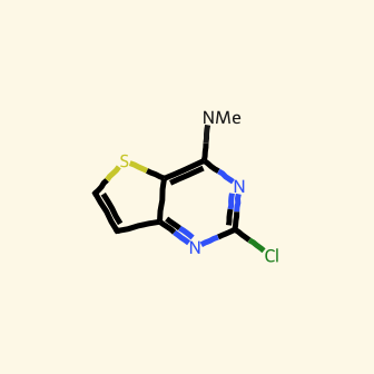 CNc1nc(Cl)nc2ccsc12